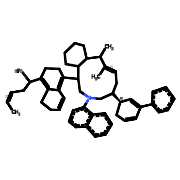 C/C=C\CC(CCC)C1=C2CCC=CC2=C(C2CN(c3cccc4ccccc34)CC([C@H]3C=C(c4ccccc4)C=CC3)C/C=C(\C)C(C)C3CCCCC23)CC1